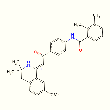 COc1ccc2c(c1)/C(=C/C(=O)c1ccc(NC(=O)c3cccc(C)c3C)cc1)NC(C)(C)C2